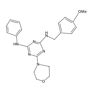 COc1ccc(CNc2nc(Nc3ccccc3)nc(N3CCOCC3)n2)cc1